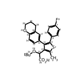 Cc1sc(-c2ccc(F)cc2)c(-c2ccc3c(c2)CCCO3)c1C(OC(C)(C)C)C(=O)O